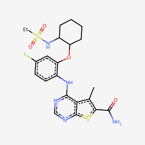 CCS(=O)(=O)NC1CCCCC1Oc1cc(F)ccc1Nc1ncnc2sc(C(N)=O)c(C)c12